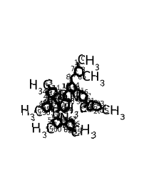 CCC1CC(C)CC(Cc2cc3c4c(c2)c2ccc(C5(C)CC6CC(C)CC(C6)C5)cc2n4-c2cc4c5c6c2B3c2cc(C)cc3c7cc(C)cc(c7n-6c23)B5c2cc(C)cc3c5cc(C)ccc5n-4c23)C1